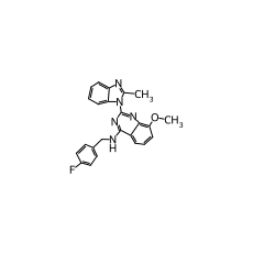 COc1cccc2c(NCc3ccc(F)cc3)nc(-n3c(C)nc4ccccc43)nc12